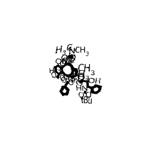 CO[C@H]1C[C@H]2OC[C@@]2(OC(C)=O)[C@H]2[C@H](OC(=O)c3ccccc3)[C@]3(O)C[C@H](OC(=O)[C@H](O)[C@@H](NC(=O)OC(C)(C)C)c4ccccc4)C(C)=C([C@@H](OC(=O)N(C)C)C(=O)[C@]12C)C3(C)C